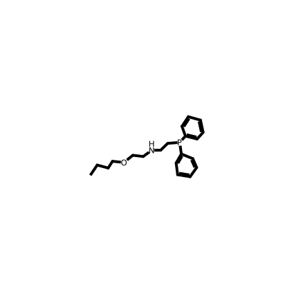 CCCCOCCNCCP(c1ccccc1)c1ccccc1